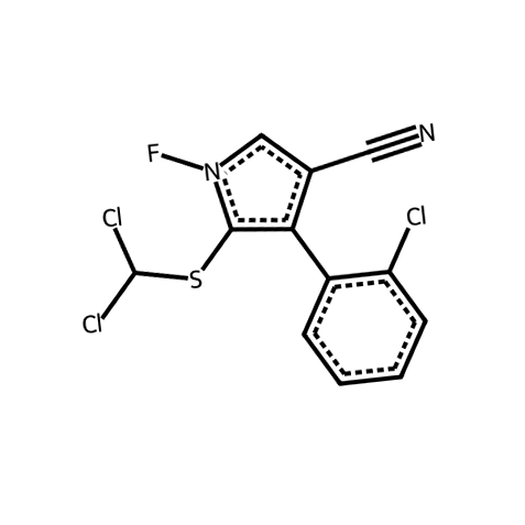 N#Cc1cn(F)c(SC(Cl)Cl)c1-c1ccccc1Cl